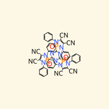 N#CC1=C(C#N)N(c2ccccc2)P(=O)(c2nc(P3(=O)N(c4ccccc4)C(C#N)=C(C#N)N3c3ccccc3)nc(P3(=O)N(c4ccccc4)C(C#N)=C(C#N)N3c3ccccc3)n2)N1C1=CCCC=C1